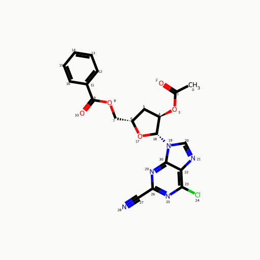 CC(=O)O[C@@H]1C[C@@H](COC(=O)c2ccccc2)O[C@H]1n1cnc2c(Cl)nc(C#N)nc21